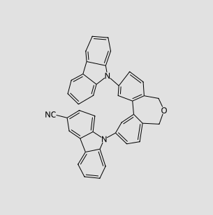 N#Cc1ccc2c(c1)c1ccccc1n2-c1ccc2c(c1)-c1cc(-n3c4ccccc4c4ccccc43)ccc1COC2